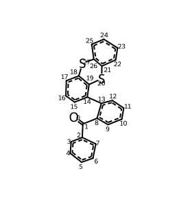 O=C(c1ccccc1)c1ccccc1-c1cccc2c1Sc1ccccc1S2